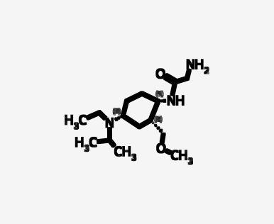 CCN(C(C)C)[C@@H]1CC[C@H](NC(=O)CN)[C@H](COC)C1